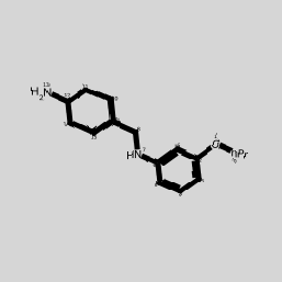 CCCOc1cccc(NCC2CCC(N)CC2)c1